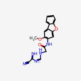 COc1cc2c(cc1NC(=O)CN/C=N\C(=N)C#N)oc1ccccc12